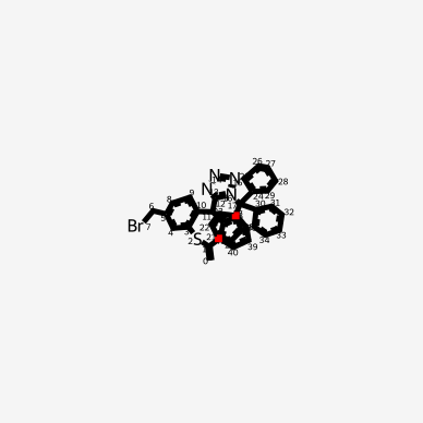 C=C1Sc2cc(CBr)ccc2C(c2nnnn2C(c2ccccc2)(c2ccccc2)c2ccccc2)c2ccccc21